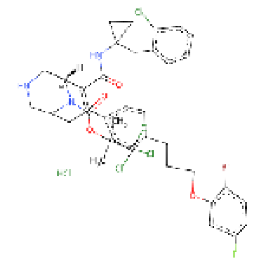 CC(C)(OC(=O)N1C2CNC[C@@H]1C(C(=O)NC1(Cc3ccccc3Cl)CC1)=C(c1ccc(CCCOc3cc(F)ccc3Br)cc1)C2)C(Cl)(Cl)Cl.Cl